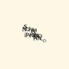 CC(C)Nc1cc(Nc2ccc3ncsc3c2)ncc1-c1nc(C(=O)NCCC2CCCCC2)cs1